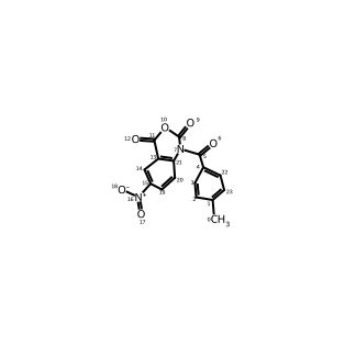 Cc1ccc(C(=O)n2c(=O)oc(=O)c3cc([N+](=O)[O-])ccc32)cc1